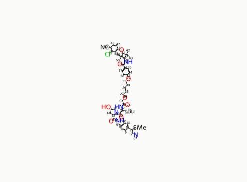 C=N/C=C(\SC)c1ccc(CNC(=O)[C@@H]2C[C@@H](O)CN2C(=O)[C@@H](NC(=O)COCCCCCOc2ccc(C(=O)NC3C(C)(C)C(Oc4ccc(C#N)c(Cl)c4)C3(C)C)cc2)C(C)(C)C)cc1